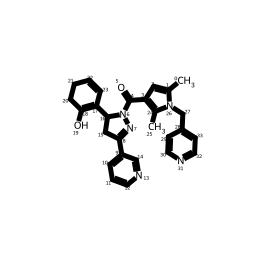 Cc1cc(C(=O)N2N=C(c3cccnc3)CC2C2=C(O)CCC=C2)c(C)n1Cc1ccncc1